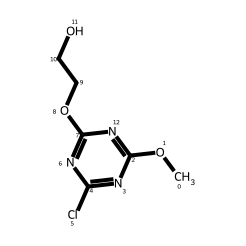 COc1nc(Cl)nc(OCCO)n1